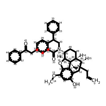 C=CCN1CC[C@]23c4c5c(O)cc(OC)c4O[C@H]2[C@H](N(CC(c2ccccc2)c2ccccc2)C(=O)CCCCC(=O)c2ccccc2)CC[C@H]3[C@H]1C5